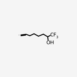 [CH]=CCCCCC(O)C(F)(F)F